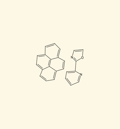 c1cc2ccc3cccc4ccc(c1)c2c34.c1ccc(-c2ncco2)nc1